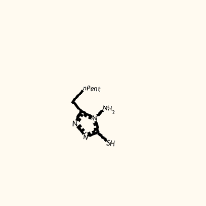 CCCCCCc1nnc(S)n1N